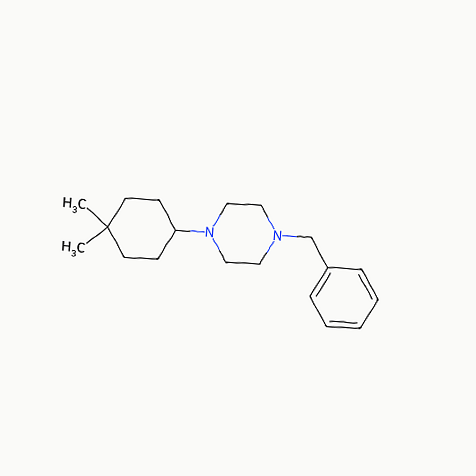 CC1(C)CCC(N2CCN(Cc3ccccc3)CC2)CC1